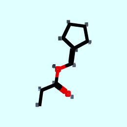 CCC(=O)OC=C1CCCC1